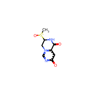 C[S+]([O-])C1Cn2cnc(=O)cc2C(=O)N1